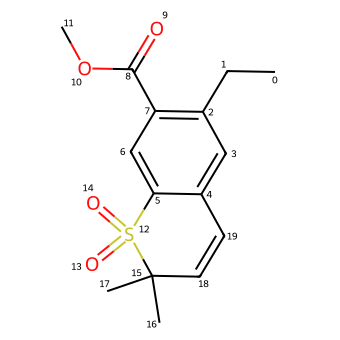 CCc1cc2c(cc1C(=O)OC)S(=O)(=O)C(C)(C)C=C2